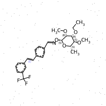 CCO[C@@H]1[C@@H](OC)[C@H](C)O[C@@H](ON=Cc2ccc(/C=C/c3cccc(C(F)(F)F)c3)cc2)[C@@H]1OC